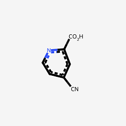 N#Cc1ccnc(C(=O)O)c1